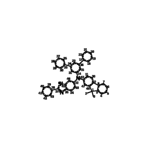 CC1(C)c2ccccc2-c2ccc(N(c3cc(-c4ccccc4)cc(-c4ccccc4)c3)c3ccc4nc(-c5ccccc5)sc4c3)cc21